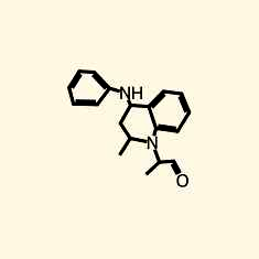 CC(C=O)N1c2ccccc2C(Nc2ccccc2)CC1C